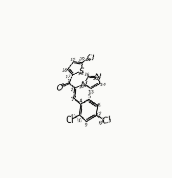 O=C(C(=Cc1ccc(Cl)cc1Cl)n1ccnc1)c1ccc(Cl)s1